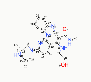 CNC(=O)c1c(NCCO)c2ccc(N3C[C@@H](C)N[C@@H](C)C3)nc2n2c1nc1ccccc12